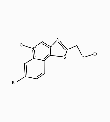 CCOCc1nc2c[n+]([O-])c3cc(Br)ccc3c2s1